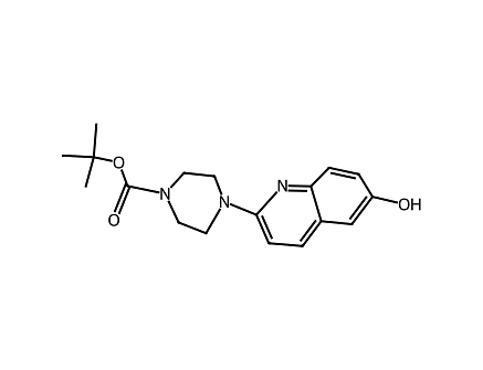 CC(C)(C)OC(=O)N1CCN(c2ccc3cc(O)ccc3n2)CC1